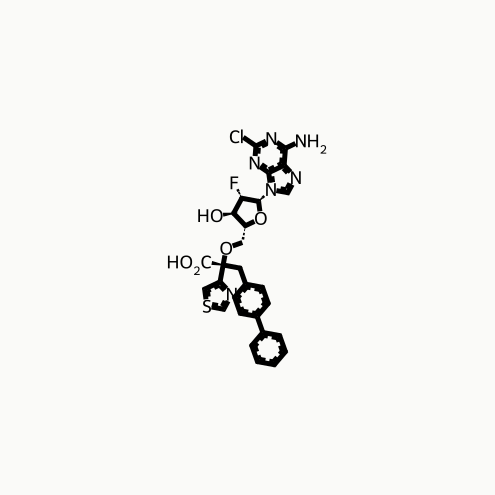 Nc1nc(Cl)nc2c1ncn2[C@@H]1O[C@H](CO[C@@](Cc2ccc(-c3ccccc3)cc2)(C(=O)O)c2cscn2)[C@@H](O)[C@@H]1F